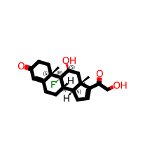 C[C@]12CCC(=O)C=C1CC[C@H]1[C@@H]3CC=C(C(=O)CO)[C@@]3(C)C[C@H](O)[C@@]12F